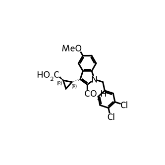 COc1ccc2c(c1)c([C@@H]1C[C@H]1C(=O)O)c(C(=O)O)n2Cc1ccc(Cl)c(Cl)c1